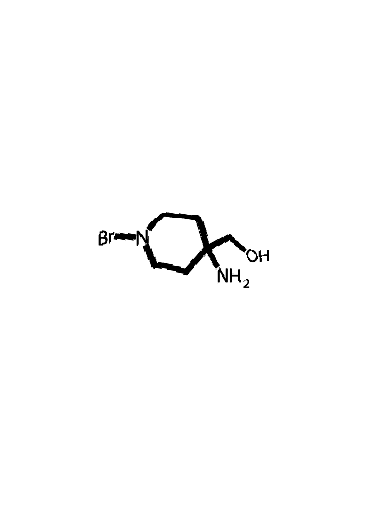 NC1(CO)CCN(Br)CC1